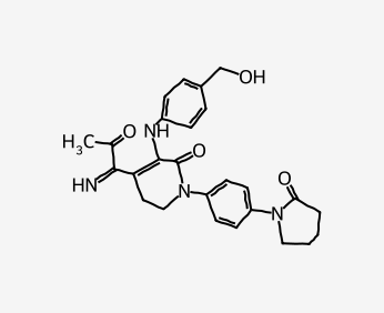 CC(=O)C(=N)C1=C(Nc2ccc(CO)cc2)C(=O)N(c2ccc(N3CCCCC3=O)cc2)CC1